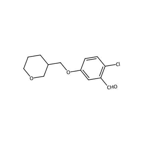 O=Cc1cc(OCC2CCCOC2)ccc1Cl